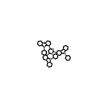 c1ccc(-n2c3ccccc3c3cc(-c4nc(-c5cccc6c7ccccc7n(-c7ccccc7)c56)cc(-c5cccc6c7ccccc7n(-c7ccccc7)c56)n4)ccc32)cc1